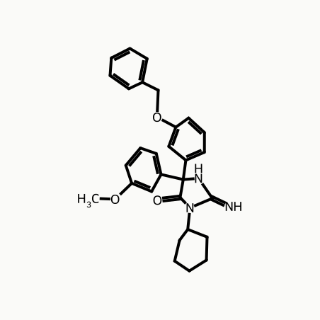 COc1cccc(C2(c3cccc(OCc4ccccc4)c3)NC(=N)N(C3CCCCC3)C2=O)c1